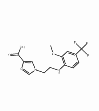 COc1cc(C(F)(F)F)ccc1NCCn1cnc(C(=O)O)c1